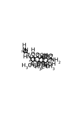 CN(C)c1cc(NCc2cc[nH]n2)c(O)c2c1C[C@H]1C[C@H]3C(N(C)C)C(O)C(C(N)=O)C(=O)[C@@]3(O)C(O)=C1C2=O